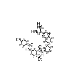 CCOc1ccc(NC(=O)c2ccc(Cl)cc2)cc1[S+]([O-])Nc1cncc(-c2ccc3ncc(/C(C=N)=C/N)nc3c2)c1